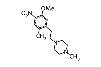 COc1cc(CCN2CCN(C)CC2)c(C)cc1[N+](=O)[O-]